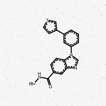 CC(C)(C)NC(=O)c1ccc2c(c1)ncn2-c1cccc(-c2ccsc2)c1